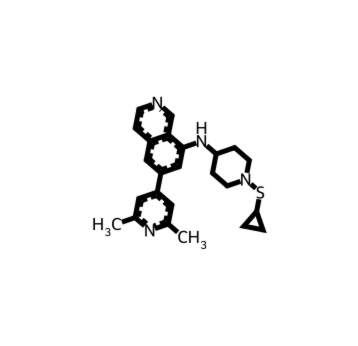 Cc1cc(-c2cc(NC3CCN(SC4CC4)CC3)c3cnccc3c2)cc(C)n1